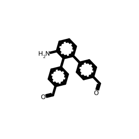 Nc1cccc(-c2ccc(C=O)cc2)c1-c1ccc(C=O)cc1